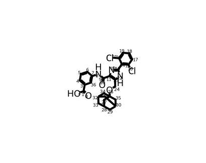 O=C(O)c1cccc(NC(=O)c2nc(-c3c(Cl)cccc3Cl)[nH]c2COC23CC4CC(CC(C4)C2)C3)c1